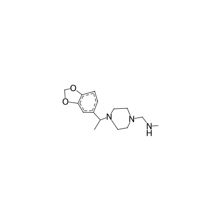 CNCN1CCN(C(C)c2ccc3c(c2)OCO3)CC1